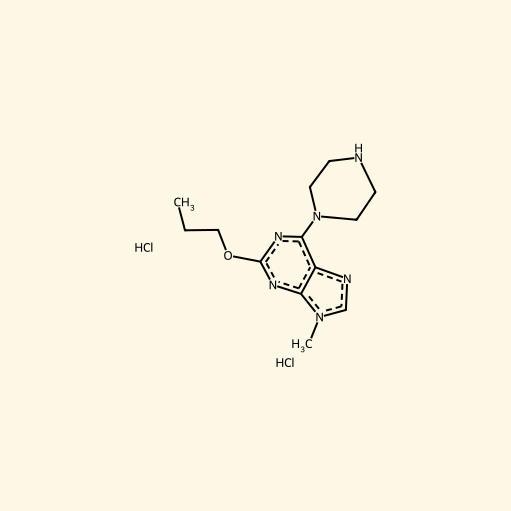 CCCOc1nc(N2CCNCC2)c2ncn(C)c2n1.Cl.Cl